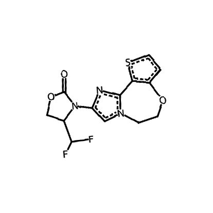 O=C1OCC(C(F)F)N1c1cn2c(n1)-c1sccc1OCC2